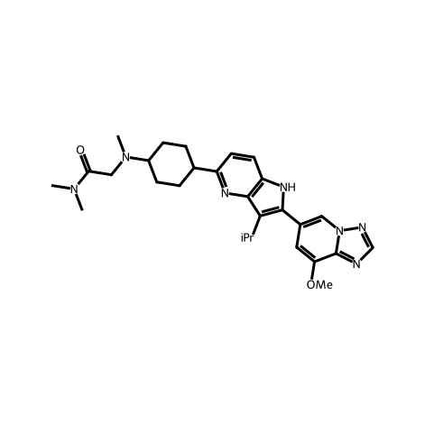 COc1cc(-c2[nH]c3ccc(C4CCC(N(C)CC(=O)N(C)C)CC4)nc3c2C(C)C)cn2ncnc12